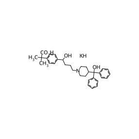 CC(C)(C(=O)O)c1ccc(C(O)CCCN2CCC(C(O)(c3ccccc3)c3ccccc3)CC2)cc1.[KH]